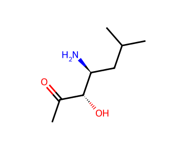 CC(=O)[C@@H](O)[C@@H](N)CC(C)C